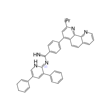 CC(C)c1cc(-c2ccc(C(=N)/N=c3\[nH]cc(C4=CCCC=C4)cc3-c3ccccc3)cc2)c2ccc3cccnc3c2n1